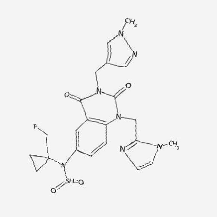 Cn1cc(Cn2c(=O)c3cc(N([SH](=O)=O)C4(CF)CC4)ccc3n(Cc3nccn3C)c2=O)cn1